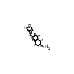 NC1CCc2cc(CN3CC4CC3CO4)ccc2C1